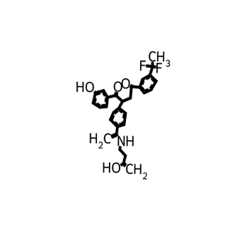 C=C(O)CCNC(=C)c1ccc(C(CC(=O)c2cccc(C(C)(F)F)c2)C(=O)c2cccc(O)c2)cc1